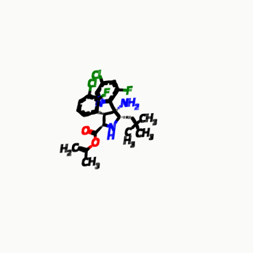 C=C(C)OC(=O)[C@@H]1N[C@@H](CC(C)(C)C)[C@](N)(c2ncc(Cl)cc2F)[C@H]1c1cccc(Cl)c1F